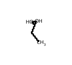 CCCCCCCC/C=C\CCCCCc1cc(O)cc(O)c1